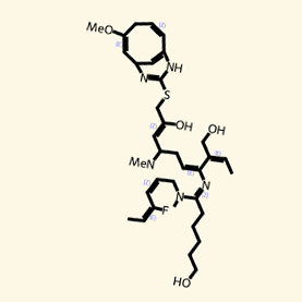 C/C=C(F)\C=C/CN(C)\C(CCCCCO)=N/C(=C/CC(/C=C(\O)CSC1=NC2C=C(/C=C\C/C(OC)=C\2)N1)NC)C(=C\C)/CO